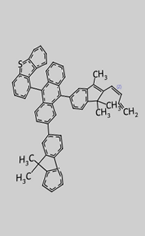 C=C/C=C\C1=C(C)c2cc(-c3c4ccccc4c(-c4cccc5sc6ccccc6c45)c4ccc(-c5ccc6c(c5)C(C)(C)c5ccccc5-6)cc34)ccc2C1(C)C